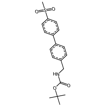 CC(C)(C)OC(=O)NCc1ccc(-c2ccc(S(C)(=O)=O)cc2)cc1